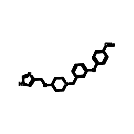 COc1ccc(Oc2cccc(CN3CCC(OCc4c[nH]cn4)CC3)c2)cc1